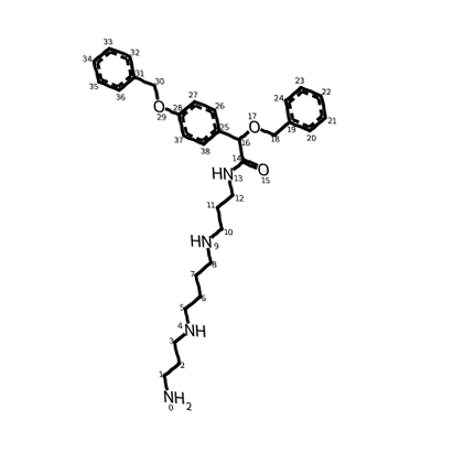 NCCCNCCCCNCCCNC(=O)C(OCc1ccccc1)c1ccc(OCc2ccccc2)cc1